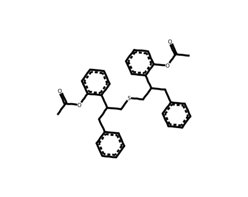 CC(=O)Oc1ccccc1C(CSCC(Cc1ccccc1)c1ccccc1OC(C)=O)Cc1ccccc1